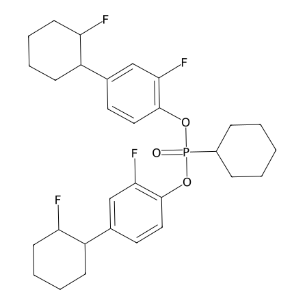 O=P(Oc1ccc(C2CCCCC2F)cc1F)(Oc1ccc(C2CCCCC2F)cc1F)C1CCCCC1